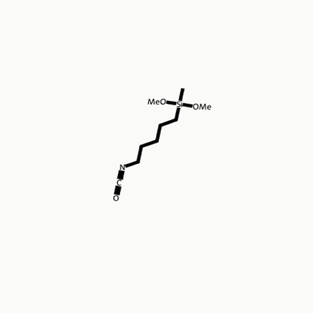 CO[Si](C)(CCCCCN=C=O)OC